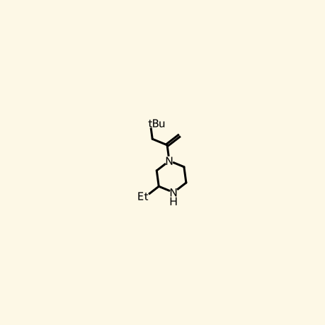 C=C(CC(C)(C)C)N1CCNC(CC)C1